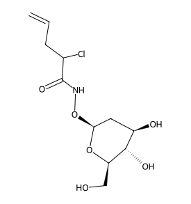 C=CCC(Cl)C(=O)NO[C@H]1C[C@@H](O)[C@H](O)[C@@H](CO)O1